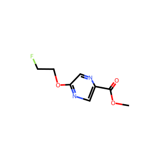 COC(=O)c1cnc(OCCF)cn1